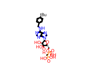 CC(C)(C)c1ccc(CNc2ncnc3c2ncn3[C@@H]2O[C@H](COP(=O)(O)CP(=O)(O)O)C(O)(O)[C@H]2O)cc1